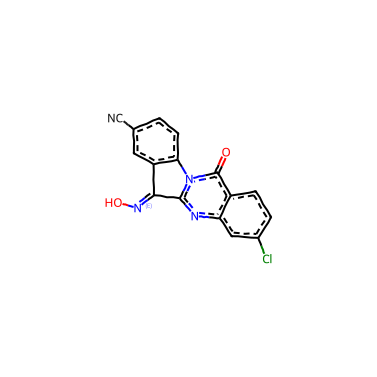 N#Cc1ccc2c(c1)/C(=N\O)c1nc3cc(Cl)ccc3c(=O)n1-2